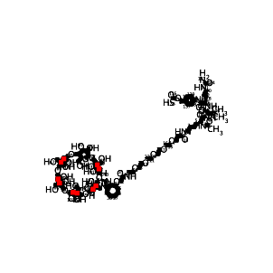 CC(=O)N[C@H](CCCCNC(=O)CCOCCOCCOCCOCCOCCNC(=O)COC1CCCCCc2c1nnn2CC1O[C@@H]2OC3C(CO)OC(OC4C(CO)OC(OC5C(CO)OC(OC6C(CO)OC(OC7C(CO)O[C@H](OC1C(O)[C@H]2O)C(O)C7O)C(O)C6O)C(O)C5O)C(O)C4O)C(O)C3O)C(=O)N[C@H](C(=O)N[C@@H](CCCNC(N)=O)C(=O)Nc1ccc(COC(=O)S)cc1)C(C)C